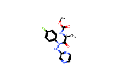 C[C@H](NC(=O)OC(C)(C)C)C(=O)N(Nc1cnccn1)c1ccc(F)cc1